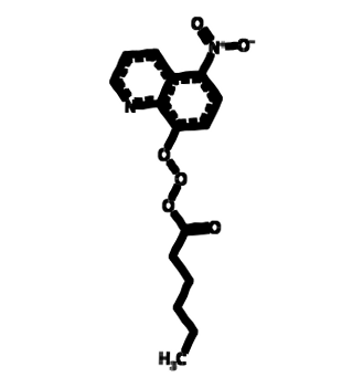 CCCCCC(=O)OOOc1ccc([N+](=O)[O-])c2cccnc12